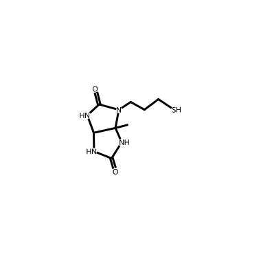 CC12NC(=O)NC1NC(=O)N2CCCS